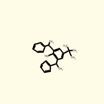 CC(c1ccccc1)c1cc(C(C)(C)C)cc(C(C)c2ccccc2)c1O